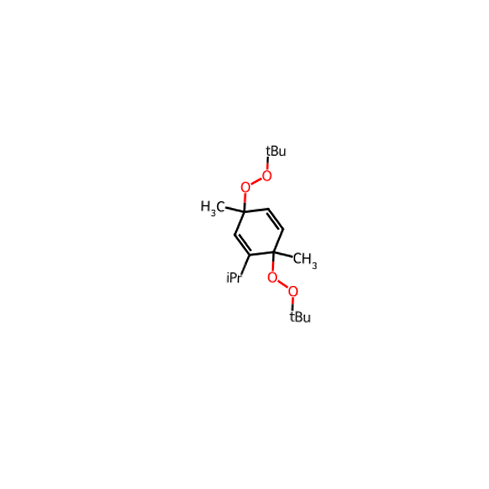 CC(C)C1=CC(C)(OOC(C)(C)C)C=CC1(C)OOC(C)(C)C